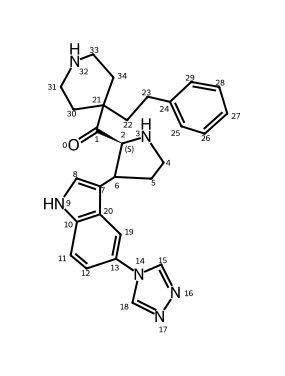 O=C([C@H]1NCCC1c1c[nH]c2ccc(-n3cnnc3)cc12)C1(CCc2ccccc2)CCNCC1